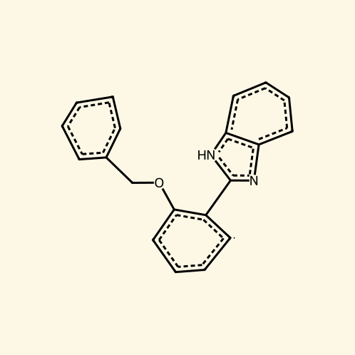 [c]1cccc(OCc2ccccc2)c1-c1nc2ccccc2[nH]1